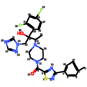 Cc1ccc(-c2nsc(C(=O)N3CCN(C(C)C(O)(Cn4cncn4)c4ccc(F)cc4F)CC3)n2)cc1